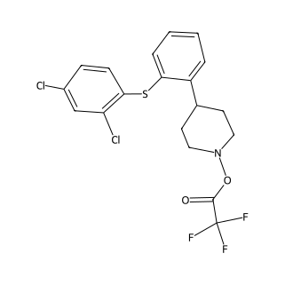 O=C(ON1CCC(c2ccccc2Sc2ccc(Cl)cc2Cl)CC1)C(F)(F)F